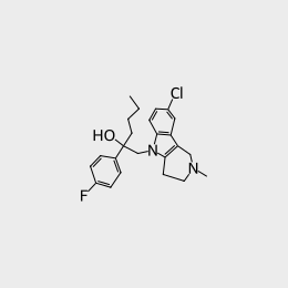 CCCCC(O)(Cn1c2c(c3cc(Cl)ccc31)CN(C)CC2)c1ccc(F)cc1